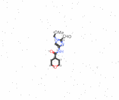 COCn1cc(NC(=O)C2CCOCC2)nc1C=O